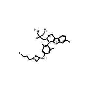 CCC(F)(F)CN1[C@H](c2c(F)cc(NC3CN(CCCF)C3)cc2F)c2[nH]c3cc(F)ccc3c2C[C@H]1C